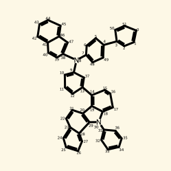 c1ccc(-c2ccc(N(c3cccc(-c4cccc5c4c4ccc6ccccc6c4n5-c4ccccc4)c3)c3ccc4ccccc4c3)cc2)cc1